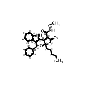 CCCCCC1(O)OC(=O)C(C(=O)NOC)=C1c1[nH]c2ccccc2c1Cc1ccccc1